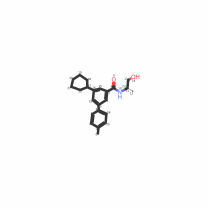 Cc1ccc(-c2cc(C(=O)N[C@@H](C)CO)cc(C3CCCCC3)c2)cc1